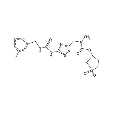 CN(Cc1nsc(NC(=O)NCc2cccc(F)c2)n1)C(=O)OC1CCS(=O)(=O)C1